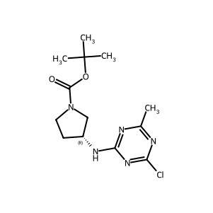 Cc1nc(Cl)nc(N[C@@H]2CCN(C(=O)OC(C)(C)C)C2)n1